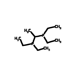 CCP(CC)C(C)P(CC)CC